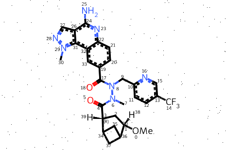 CO[C@H]1C[C@@H](C(=O)N(C)N(Cc2ccc(C(F)(F)F)cn2)C(=O)c2ccc3nc(N)c4cnn(C)c4c3c2)C2CC1C2